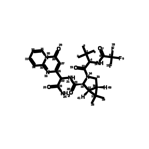 CC(C)(C)C(NC(=O)C(F)(F)F)C(=O)N1C[C@H]2[C@@H]([C@H]1C(=O)NC(C(N)=O)c1cc(=O)n3ccccc3n1)C2(C)C